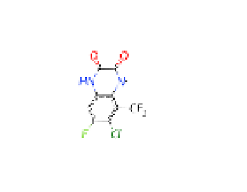 O=C1[N]c2c(cc(F)c(Cl)c2C(F)(F)F)NC1=O